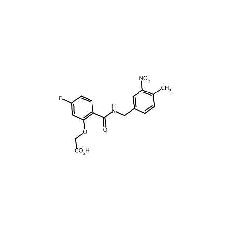 Cc1ccc(CNC(=O)c2ccc(F)cc2OCC(=O)O)cc1[N+](=O)[O-]